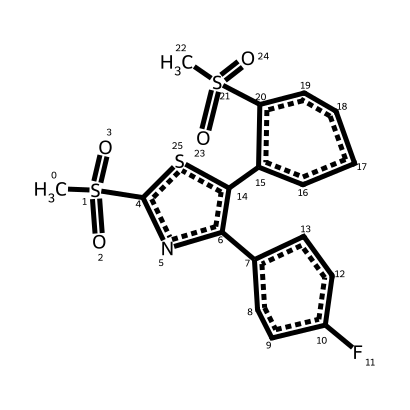 CS(=O)(=O)c1nc(-c2ccc(F)cc2)c(-c2ccccc2S(C)(=O)=O)s1